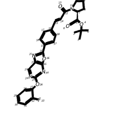 CC(C)(C)OC(=O)[C@@H]1CCCN1C(=O)C=Cc1ccc(-c2nc3cnc(Oc4ccccc4F)nc3o2)cc1